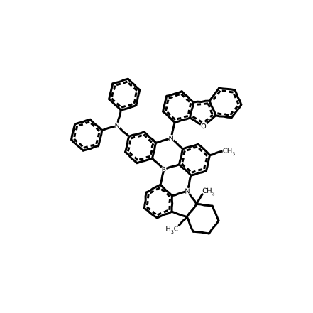 Cc1cc2c3c(c1)N1c4c(cccc4C4(C)CCCCC14C)B3c1ccc(N(c3ccccc3)c3ccccc3)cc1N2c1cccc2c1oc1ccccc12